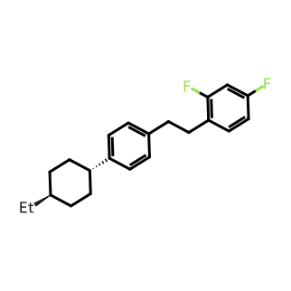 CC[C@H]1CC[C@H](c2ccc(CCc3ccc(F)cc3F)cc2)CC1